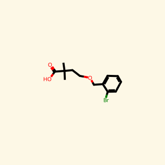 CC(C)(CCOCc1ccccc1Br)C(=O)O